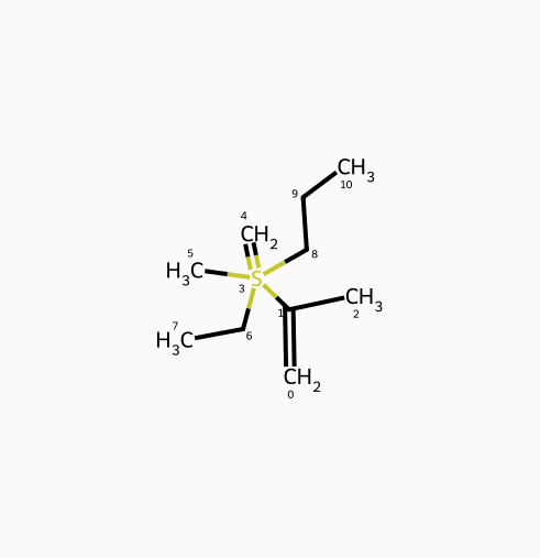 C=C(C)S(=C)(C)(CC)CCC